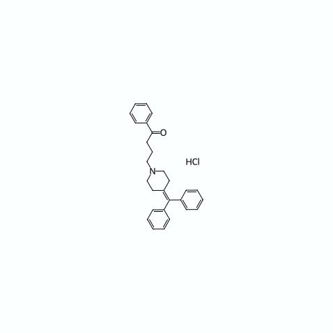 Cl.O=C(CCCN1CCC(=C(c2ccccc2)c2ccccc2)CC1)c1ccccc1